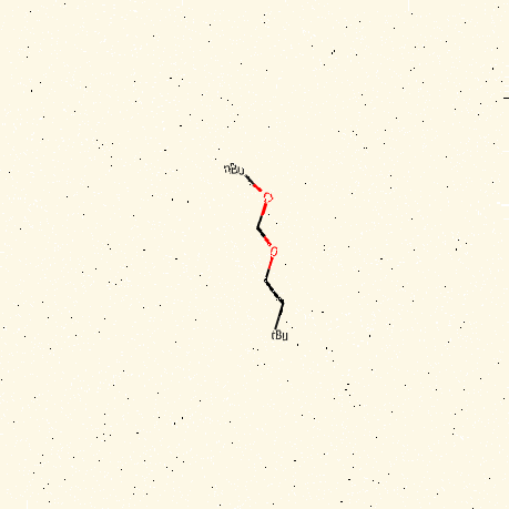 CCCCOCOCCC(C)(C)C